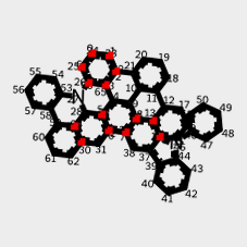 c1ccc(-c2ccccc2-c2c(-c3ccccc3)cccc2-c2cccc(N(c3cccc(-c4ccc5c(c4)c4ccccc4n5-c4ccccc4)c3)c3ccccc3-c3ccccc3)c2)cc1